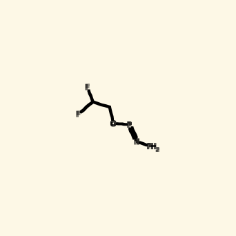 FC(F)COP=NP